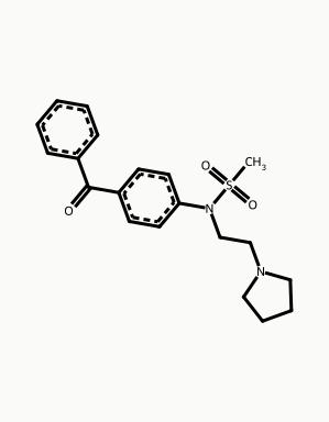 CS(=O)(=O)N(CCN1CCCC1)c1ccc(C(=O)c2ccccc2)cc1